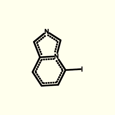 Ic1cccc2cncn12